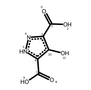 O=C(O)c1n[nH]c(C(=O)O)c1O